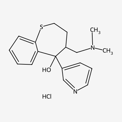 CN(C)CC1CCSc2ccccc2C1(O)c1cccnc1.Cl